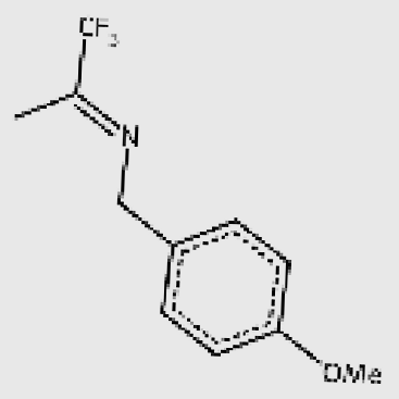 COc1ccc(CN=C(C)C(F)(F)F)cc1